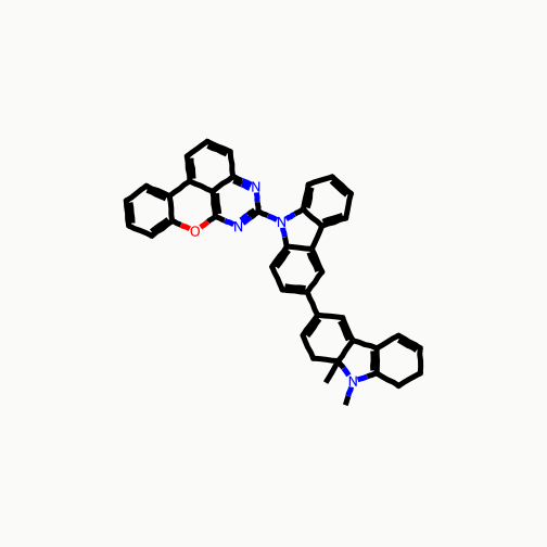 CN1C2=C(C=CCC2)C2=CC(c3ccc4c(c3)c3ccccc3n4-c3nc4c5c(cccc5n3)-c3ccccc3O4)=CCC21C